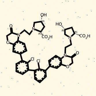 O=C(O)[C@H]1C[C@@H](O)CN1CCN1C(=O)COc2cc(-c3cccc(-c4cccc(-c5ccc6c(c5)OCC(=O)N6CCN5C[C@H](O)C[C@@H]5C(=O)O)c4Cl)c3Cl)ccc21